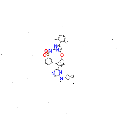 Cc1cccc(C)c1-c1cc2nc(n1)NS(=O)(=O)c1cccc(c1)C1C(c3cncc(N(C)C4CC5(CC5)C4)n3)CCC(O2)C1C(C)C